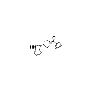 O=C(c1cccs1)N1CCC(c2c[nH]c3ccccc23)CC1